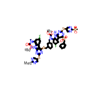 CSc1ncc(Sc2nc(SCc3cccc(CN(C(=O)OC(C)(C)C)c4cc(F)cc5c4[nH]c4nc(Sc6cnc(S(C)(=O)=O)nc6)nc(S(=O)(=O)Cc6ccccc6)c45)c3)c3c(n2)[nH]c2c(N(C)C(=O)OC(C)(C)C)cc(F)cc23)cn1